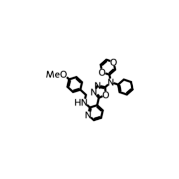 COc1ccc(CNc2ncccc2-c2nnc(N(C3=CC=CCC3)C3=COC=CO3)o2)cc1